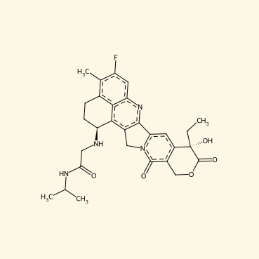 CC[C@@]1(O)C(=O)OCc2c1cc1n(c2=O)Cc2c-1nc1cc(F)c(C)c3c1c2[C@@H](NCC(=O)NC(C)C)CC3